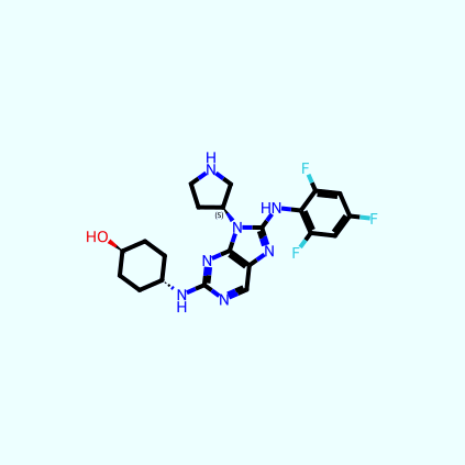 O[C@H]1CC[C@H](Nc2ncc3nc(Nc4c(F)cc(F)cc4F)n([C@H]4CCNC4)c3n2)CC1